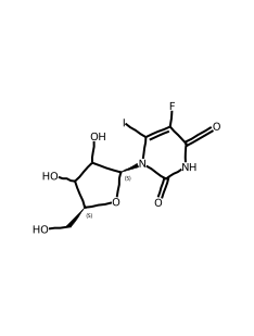 O=c1[nH]c(=O)n([C@H]2O[C@@H](CO)C(O)C2O)c(I)c1F